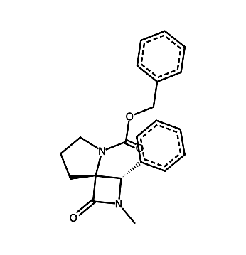 CN1C(=O)[C@@]2(CCCN2C(=O)OCc2ccccc2)[C@@H]1c1ccccc1